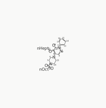 CCCCCCCCS(=O)(=O)N1CCN(c2cnn(-c3ccccc3)c(=O)c2OCCCCCCC)CC1